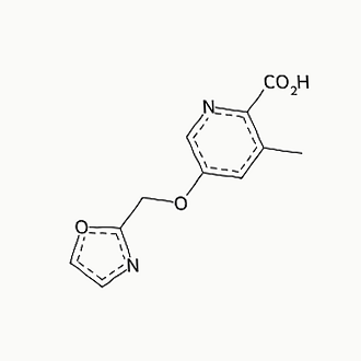 Cc1cc(OCc2ncco2)cnc1C(=O)O